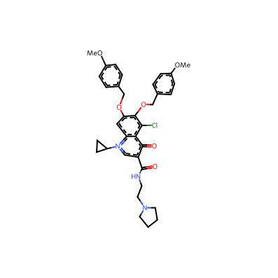 COc1ccc(COc2cc3c(c(Cl)c2OCc2ccc(OC)cc2)c(=O)c(C(=O)NCCN2CCCC2)cn3C2CC2)cc1